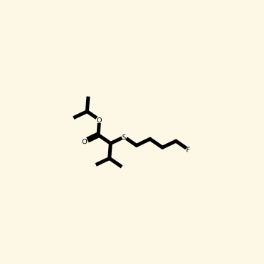 CC(C)OC(=O)C(SCCCCF)C(C)C